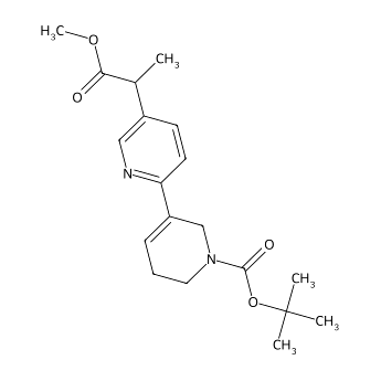 COC(=O)C(C)c1ccc(C2=CCCN(C(=O)OC(C)(C)C)C2)nc1